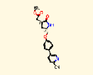 CC(C)(C)OC(=O)C[C@@H]1C[C@@H](COc2ccc(-c3ccc(C#N)nc3)cc2)NC1=O